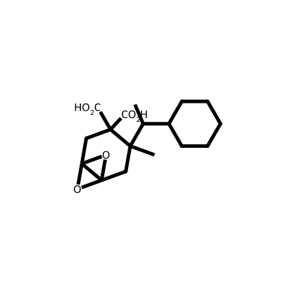 CC(C1CCCCC1)C1(C)CC23OC2(CC1(C(=O)O)C(=O)O)O3